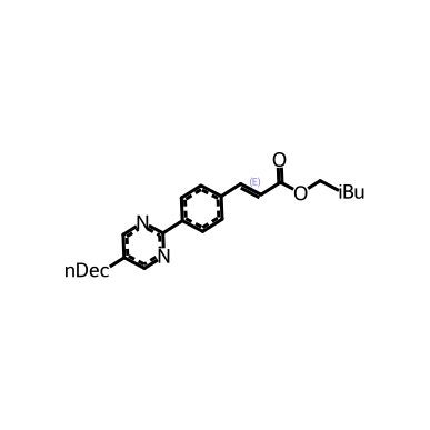 CCCCCCCCCCc1cnc(-c2ccc(/C=C/C(=O)OCC(C)CC)cc2)nc1